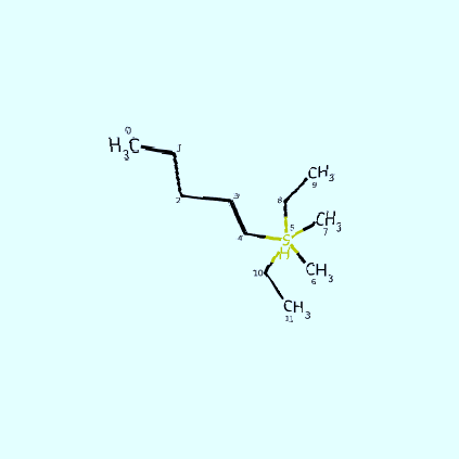 CCCCC[SH](C)(C)(CC)CC